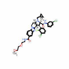 COCCOCCNC(=O)c1ccc2c(c1)nc1n2CC[C@H]2[C@@H]1[C@H](c1cccc(Cl)c1F)[C@](C)(C(=O)Nc1cccc(Cl)c1)N2CC1CC1